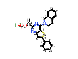 Cc1nc(N2CCc3ccccc3C2)c2sc(-c3ccccc3)cc2n1.Cl.O